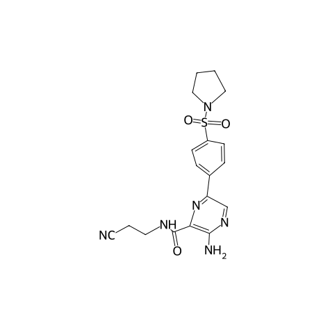 N#CCCNC(=O)c1nc(-c2ccc(S(=O)(=O)N3CCCC3)cc2)cnc1N